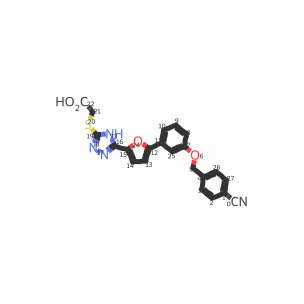 N#Cc1ccc(COc2cccc(-c3ccc(-c4nnc(SCC(=O)O)[nH]4)o3)c2)cc1